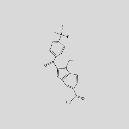 CCn1c(C(=O)c2ccc(C(F)(F)F)cn2)cc2cc(C(=O)O)ccc21